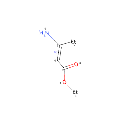 CCOC(=O)/C=C(/N)CC